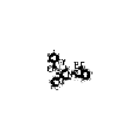 COc1ccccc1C(=O)NCC1(c2ccccn2)CCN(CCc2ccccc2C(F)(F)F)CC1